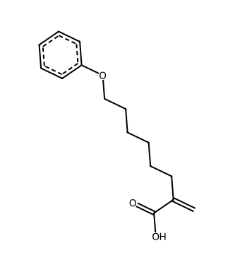 C=C(CCCCCCOc1ccccc1)C(=O)O